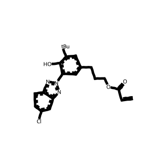 C=CC(=O)OCCCc1cc(-n2nc3ccc(Cl)cc3n2)c(O)c(C(C)(C)C)c1